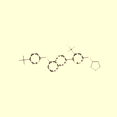 FC(F)(F)c1ccc(Nc2ccnc3nc(-c4nnc(NC5CCCC5)cc4C(F)(F)F)cnc23)nc1